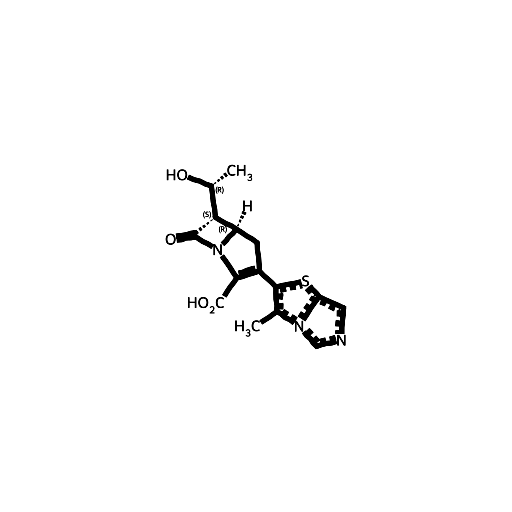 Cc1c(C2=C(C(=O)O)N3C(=O)[C@H]([C@@H](C)O)[C@H]3C2)sc2cncn12